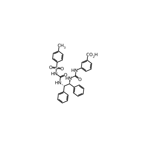 Cc1ccc(S(=O)(=O)NC(=O)N[C@@H](c2ccccc2)[C@@H](NC(=O)Nc2cccc(C(=O)O)c2)c2ccccc2)cc1